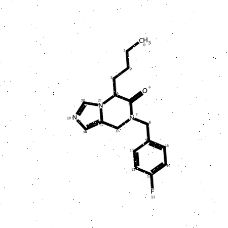 CCCCC1C(=O)N(Cc2ccc(F)cc2)Cc2cncn21